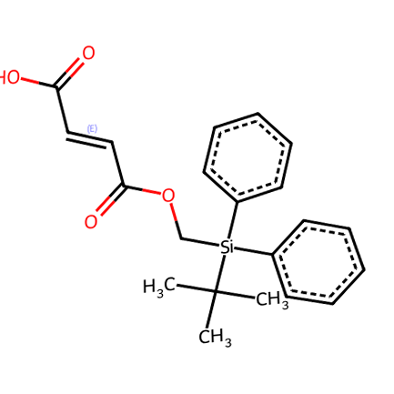 CC(C)(C)[Si](COC(=O)/C=C/C(=O)O)(c1ccccc1)c1ccccc1